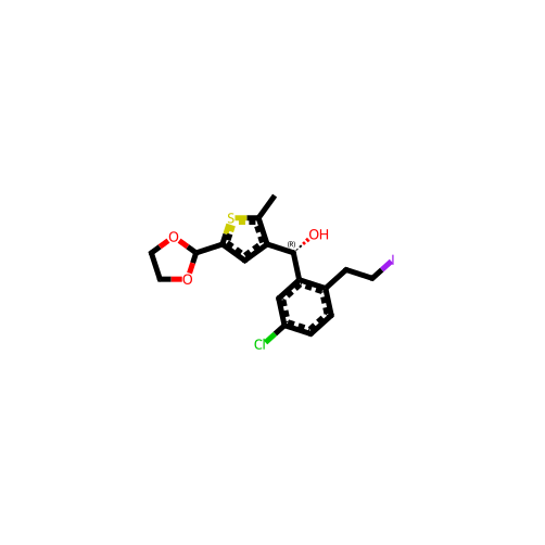 Cc1sc(C2OCCO2)cc1[C@H](O)c1cc(Cl)ccc1CCI